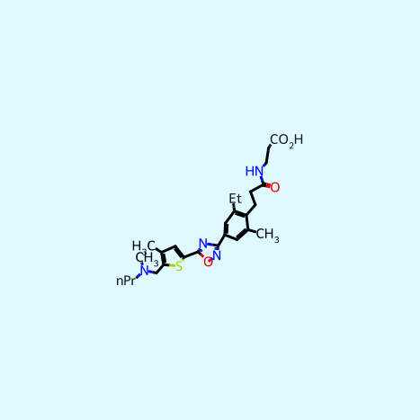 CCCN(C)Cc1sc(-c2nc(-c3cc(C)c(CCC(=O)NCCC(=O)O)c(CC)c3)no2)cc1C